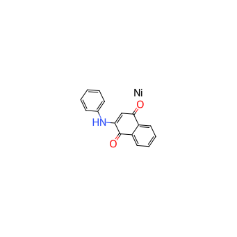 O=C1C=C(Nc2ccccc2)C(=O)c2ccccc21.[Ni]